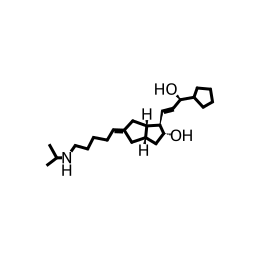 CC(C)NCCCC/C=C1\C[C@H]2C[C@@H](O)[C@H](/C=C/[C@@H](O)C3CCCC3)[C@H]2C1